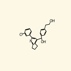 OCCc1ccc(C(O)c2cc(-c3cccc(Cl)c3)nc3c2CCC3)cc1